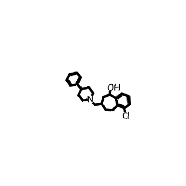 OC1CC(CN2CCC(c3ccccc3)CC2)CCc2c(Cl)cccc21